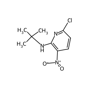 CC(C)(C)Nc1nc(Cl)ccc1[N+](=O)[O-]